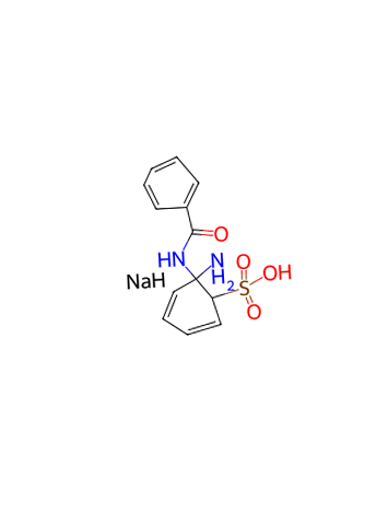 NC1(NC(=O)c2ccccc2)C=CC=CC1S(=O)(=O)O.[NaH]